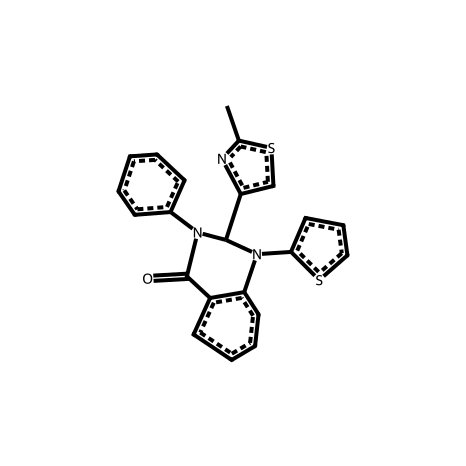 Cc1nc(C2N(c3ccccc3)C(=O)c3ccccc3N2c2cccs2)cs1